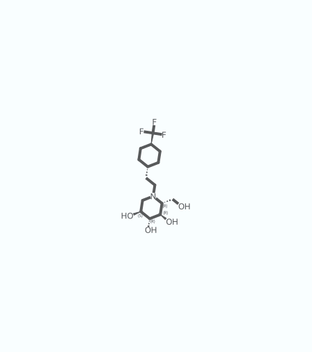 OC[C@@H]1[C@@H](O)[C@H](O)[C@@H](O)CN1CC[C@H]1CC[C@H](C(F)(F)F)CC1